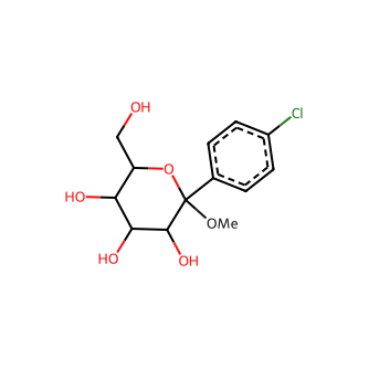 COC1(c2ccc(Cl)cc2)OC(CO)C(O)C(O)C1O